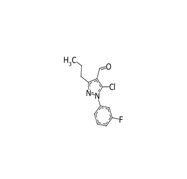 CCCc1nn(-c2cccc(F)c2)c(Cl)c1C=O